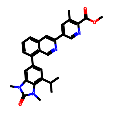 COC(=O)c1ncc(-c2cc3cccc(-c4cc(C(C)C)c5c(c4)n(C)c(=O)n5C)c3cn2)cc1C